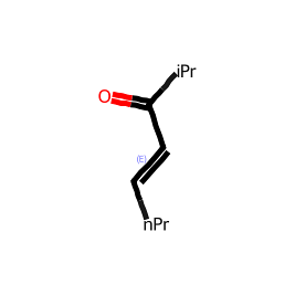 CCC/C=C/C(=O)C(C)C